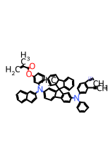 C#Cc1cc(N(c2ccccc2)c2ccc3c(c2)C2(c4cc(N(c5cccc(OC(=O)C(=C)C)c5)c5ccc6ccccc6c5)ccc4-3)c3ccccc3C3C=CC=CC32C)ccc1/C=C\C